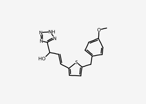 COc1ccc(Cc2ccc(C=CC(O)c3nn[nH]n3)s2)cc1